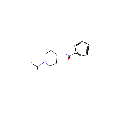 CCC(Cl)N1CCC(NC(=O)c2ccccc2)CC1